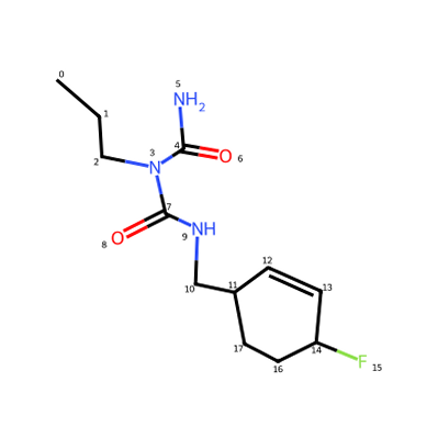 CCCN(C(N)=O)C(=O)NCC1C=CC(F)CC1